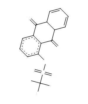 O=C1c2cccc(OS(=O)(=O)C(F)(F)F)c2C(=O)C2C=CC=CC12